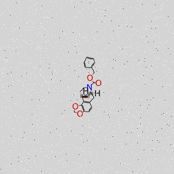 O=C(OCc1ccccc1)N1CC[C@@]23CCCC[C@@H]2[C@@H]1Cc1ccc2c(c13)OCO2